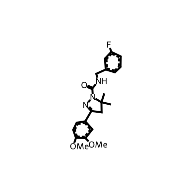 COc1ccc(C2=NN(C(=O)NCc3cccc(F)c3)C(C)(C)C2)cc1OC